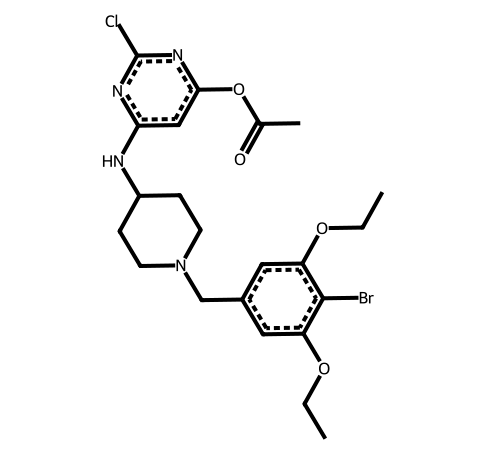 CCOc1cc(CN2CCC(Nc3cc(OC(C)=O)nc(Cl)n3)CC2)cc(OCC)c1Br